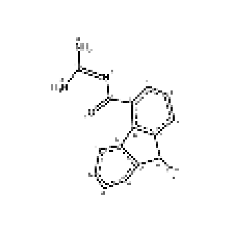 NC(N)=NC(=O)c1cccc2c1-c1ccccc1C2O